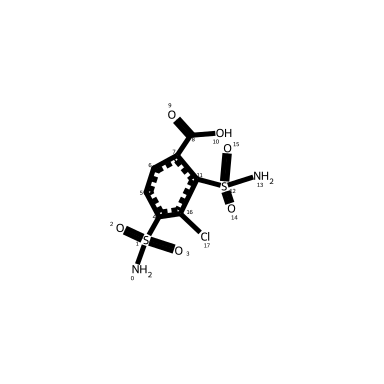 NS(=O)(=O)c1ccc(C(=O)O)c(S(N)(=O)=O)c1Cl